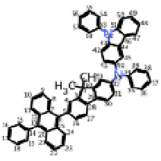 CC1(C)c2cc(-c3c4ccccc4c(-c4ccccc4)c4ccccc34)ccc2-c2ccc(N(c3ccccc3)c3ccc4c(c3)c3ccccc3n4-c3ccccc3)cc21